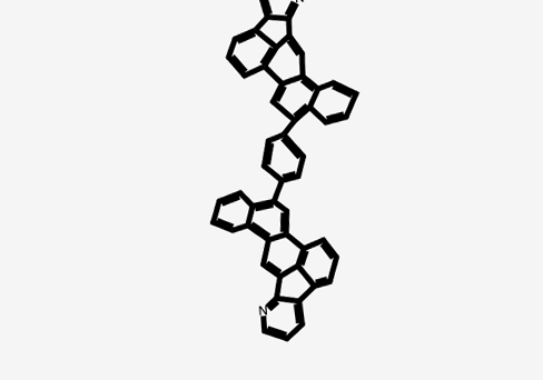 c1cnc2c(c1)-c1cccc3c1c-2cc1c2ccccc2c(-c2ccc(-c4cc5c6cccc7c6c(cc5c5ccccc45)-c4ncccc4-7)cc2)cc31